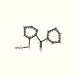 CCCCCOc1ccccc1C(=O)c1ccccc1